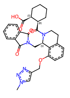 Cn1cc(COc2cccc3c2[C@@H](CN2C(=O)c4ccccc4C2=O)N(C(=O)[C@@H]2CCCC[C@@H]2C(=O)O)CC3)nn1